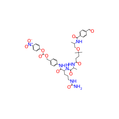 CC(COC(C)(C)CCC(=O)NC(C)C(=O)NC(CCCNC(N)=O)C(=O)Nc1ccc(COC(=O)Oc2ccc([N+](=O)[O-])cc2)cc1)NC(=O)c1ccc(C=O)cc1